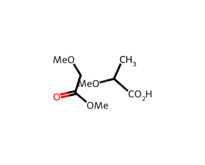 COC(C)C(=O)O.COCC(=O)OC